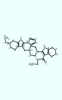 CCOC(=O)c1c(N2CCN(Cc3c(-n4cccc4)sc4c3CCN(CC)C4)CC2)sc2c1CCCC2